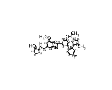 CCOc1cc(-c2ccc(F)cc2-c2nncn2C)cc(-c2nc3cc(CN[C@@H]4CCC[C@@H]4O)cc(OC)c3o2)n1